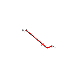 CCCCCCCC/C=C\CCCCCCCCOC(=O)CCCCCCCCCCCCCCCCCCCCCCCCCCCCCCCCCCCC